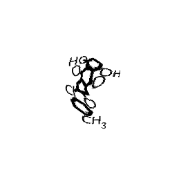 Cc1cccc(Oc2cc3c(cc2Cl)C(=O)c2c(O)ccc(O)c2C3=O)c1